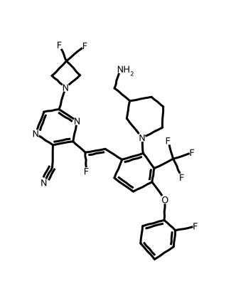 N#Cc1ncc(N2CC(F)(F)C2)nc1/C(F)=C/c1ccc(Oc2ccccc2F)c(C(F)(F)F)c1N1CCCC(CN)C1